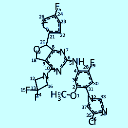 COc1cc(Nc2nc3c(c(N4CC(F)(F)C4)n2)COC3c2ccc(F)cc2)c(F)cc1-n1cnc(Cl)c1